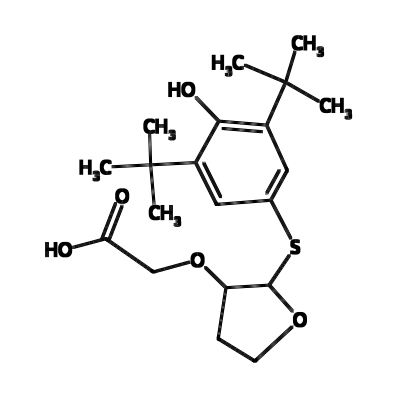 CC(C)(C)c1cc(SC2OCCC2OCC(=O)O)cc(C(C)(C)C)c1O